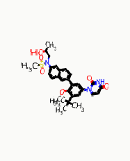 COc1c(-c2ccc3cc(N(CC(C)O)S(C)(=O)=O)ccc3c2)cc(-n2ccc(=O)[nH]c2=O)cc1C(C)(C)C